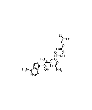 CCC(CC)COC(=O)[C@H](C)N[PH](=O)OC[C@@H](OC(N)=O)[C@@H](O)[C@@H](O)c1ccc2c(N)ncnn12